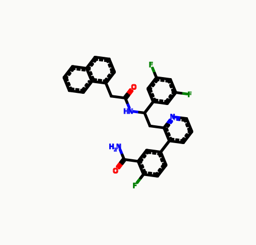 NC(=O)c1cc(-c2cccnc2CC(NC(=O)Cc2cccc3ccccc23)c2cc(F)cc(F)c2)ccc1F